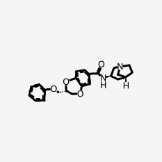 O=C(N[C@@H]1C[C@H]2CCN(C2)C1)c1ccc2c(c1)OC[C@H](COc1ccccc1)O2